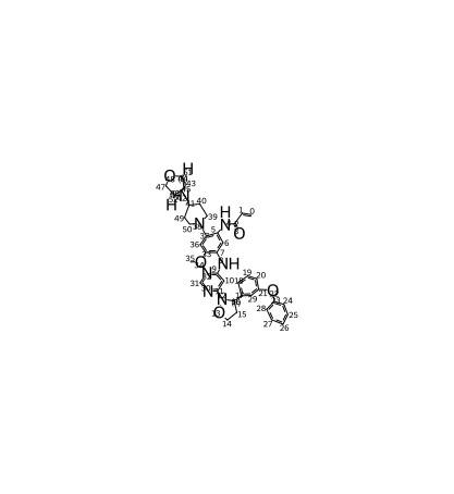 C=CC(=O)Nc1cc(Nc2cc(N3OCC[C@@H]3c3cccc(Oc4ccccc4)c3)ncn2)c(OC)cc1N1CCC(N2C[C@@H]3C[C@H]2CO3)CC1